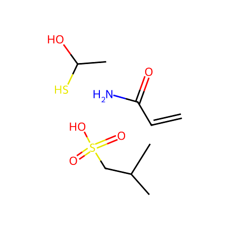 C=CC(N)=O.CC(C)CS(=O)(=O)O.CC(O)S